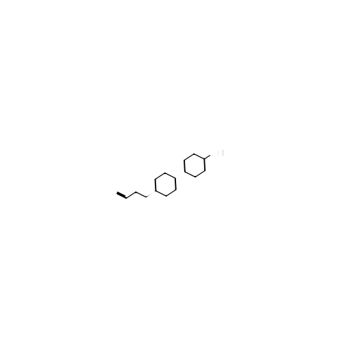 C=CCC[C@H]1CC[C@H](C2CCC(C=O)CC2)CC1